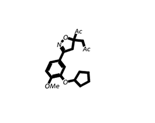 COc1ccc(C2=NOC(CC(C)=O)(C(C)=O)C2)cc1OC1CCCC1